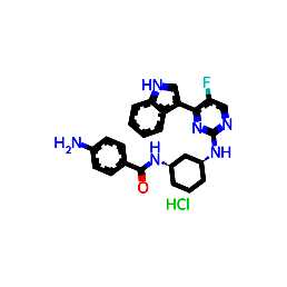 Cl.Nc1ccc(C(=O)N[C@H]2CCC[C@@H](Nc3ncc(F)c(-c4c[nH]c5ccccc45)n3)C2)cc1